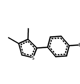 CCc1ccc(-c2scc(C)c2C)cc1